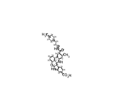 Cc1cc(N/C(=C2/C(=O)Nc3cc(C(=O)O)ccc32)c2ccccc2)ccc1C(=O)NOCCN1CCN(C)CC1